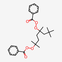 CC(C)(C)CC(C)(CCC(C)(C)OOC(=O)c1ccccc1)OOC(=O)c1ccccc1